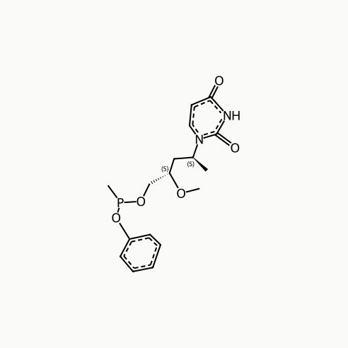 CO[C@H](COP(C)Oc1ccccc1)C[C@H](C)n1ccc(=O)[nH]c1=O